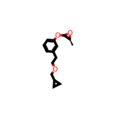 C[C@@H]1OC1Oc1cccc(CCOCC2CC2)c1